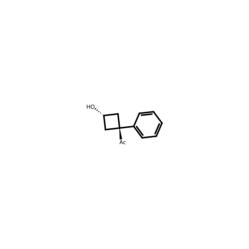 CC(=O)[C@]1(c2ccccc2)C[C@@H](O)C1